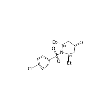 CC[C@@H]1CC(=O)C[C@@H](CC)N1S(=O)(=O)c1ccc(Cl)cc1